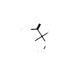 CCC(C)(O[C]=O)C(=O)OCC(C)C